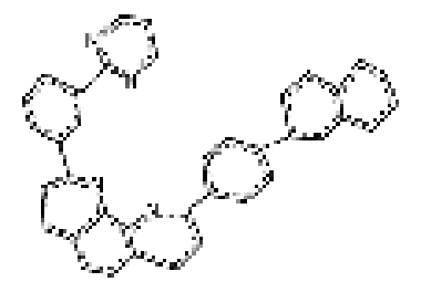 c1cnc(-c2cccc(-c3ccc4ccc5ccc(-c6ccc(-c7ccc8ccccc8c7)cc6)nc5c4n3)c2)nc1